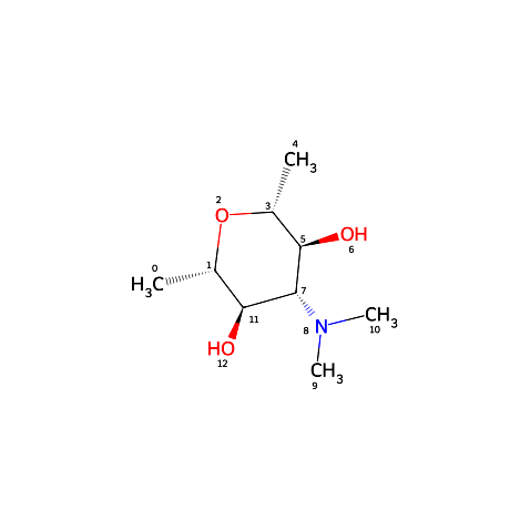 C[C@@H]1O[C@H](C)[C@@H](O)[C@H](N(C)C)[C@H]1O